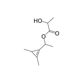 CC1=C(C(C)OC(=O)C(C)O)C1C